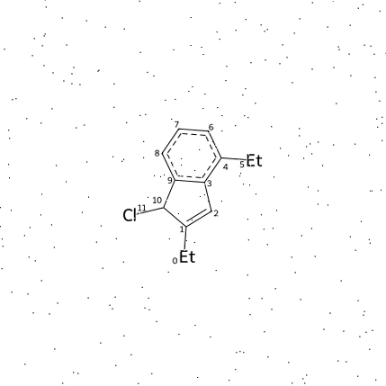 CCC1=Cc2c(CC)cccc2C1Cl